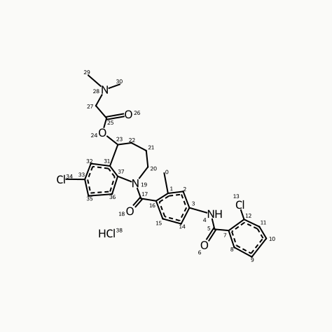 Cc1cc(NC(=O)c2ccccc2Cl)ccc1C(=O)N1CCCC(OC(=O)CN(C)C)c2cc(Cl)ccc21.Cl